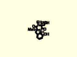 CS[C@]1(CO)C(=O)N2[C@H]3C(=CC=C[C@@H]3O)C[C@@]2(SC)C(=O)N1C